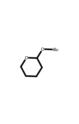 [CH2]CC(C)OC1CCCCO1